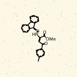 COC(=O)C(=CC(=O)c1ccc(C)cc1)NN=C1c2ccccc2-c2ccccc21